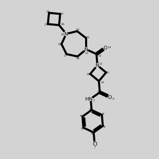 O=C(Nc1ccc(Cl)cc1)C1CN(C(=O)N2CCCN(C3CCC3)CC2)C1